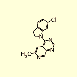 Cc1cc2c(N3CCc4ccc(Cl)cc43)ncnc2cn1